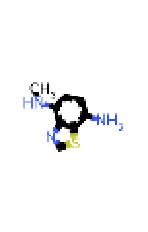 CNc1ccc(N)c2scnc12